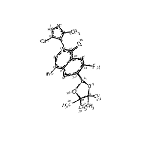 Cc1n[nH]c(Cl)c1-n1cc(C(C)C)c2cc(B3OC(C)(C)C(C)(C)O3)c(F)cc2c1=O